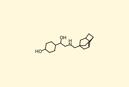 OC1CCC(C(O)CNCC23CC=C4C(CC4C2)C3)CC1